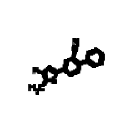 Cc1sc(-c2ccc(-c3ccccc3)c(C#N)c2)cc1F